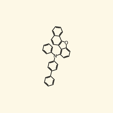 c1ccc(-c2ccc(N(c3ccccc3)c3cccc4oc5c6ccccc6ccc5c34)cc2)cc1